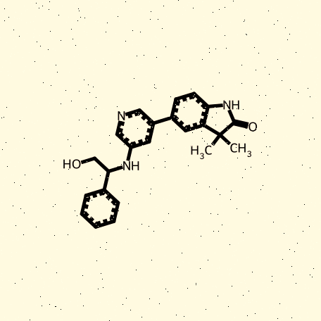 CC1(C)C(=O)Nc2ccc(-c3cncc(NC(CO)c4ccccc4)c3)cc21